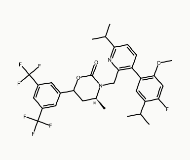 COc1cc(F)c(C(C)C)cc1-c1ccc(C(C)C)nc1CN1C(=O)OC(c2cc(C(F)(F)F)cc(C(F)(F)F)c2)C[C@@H]1C